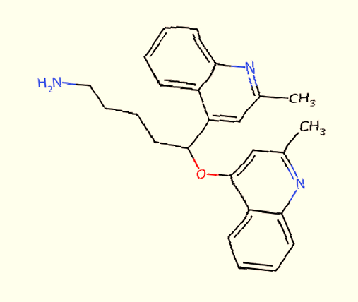 Cc1cc(OC(CCCCN)c2cc(C)nc3ccccc23)c2ccccc2n1